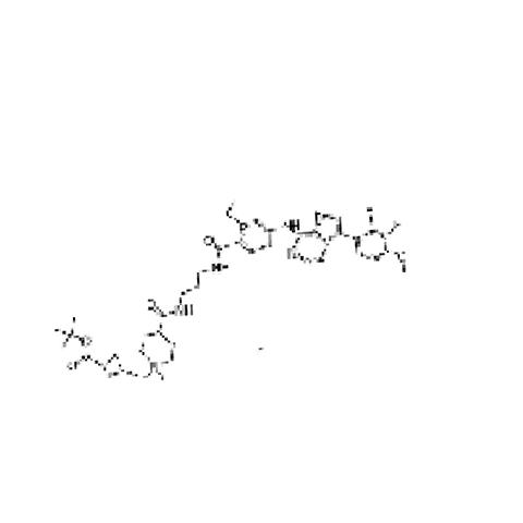 CCc1cc(Nc2nccn3c(-c4ccc(OC)c(F)c4F)cnc23)ccc1C(=O)NCCCNC(=O)C1CC[N+](C)(CC2CN(C(=O)OC(C)(C)C)C2)CC1.[I-]